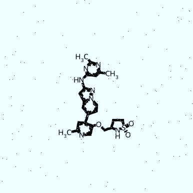 Cc1cc(-c2ccn3nc(Nc4cc(C)nc(C)n4)cc3c2)c(OCC2CCS(=O)(=O)N2)cn1